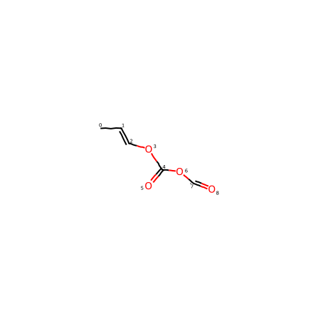 CC=COC(=O)O[C]=O